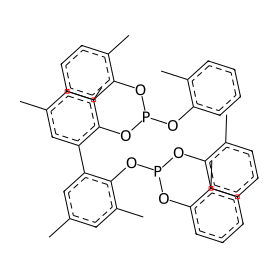 Cc1cc(C)c(OP(Oc2ccccc2C)Oc2ccccc2C)c(-c2cc(C)cc(C)c2OP(Oc2ccccc2C)Oc2ccccc2C)c1